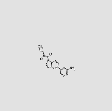 CCC[N+](=O)C(=O)n1ccc2cc(-c3ccnc(N)c3)ccc21